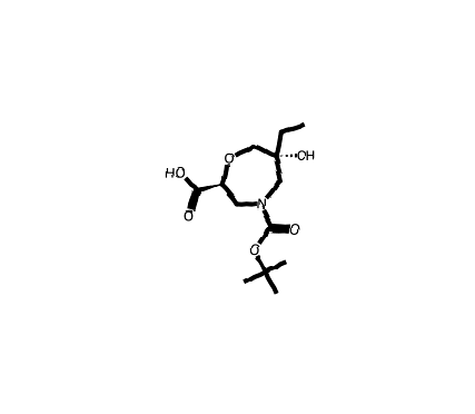 CC[C@]1(O)CO[C@H](C(=O)O)CN(C(=O)OC(C)(C)C)C1